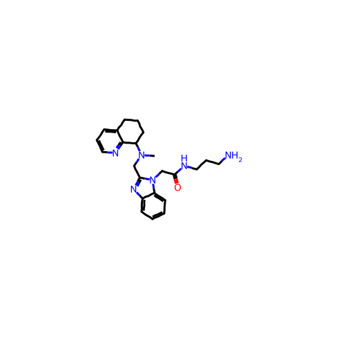 CN(Cc1nc2ccccc2n1CC(=O)NCCCN)C1CCCc2cccnc21